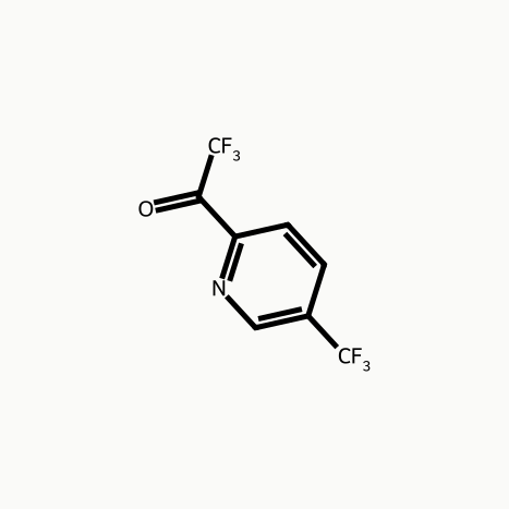 O=C(c1ccc(C(F)(F)F)cn1)C(F)(F)F